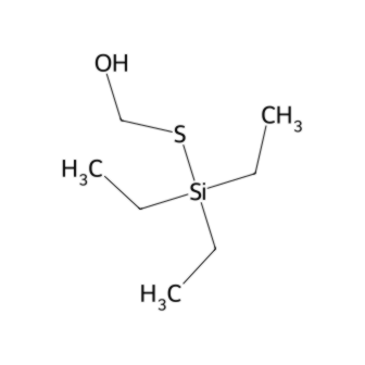 CC[Si](CC)(CC)SCO